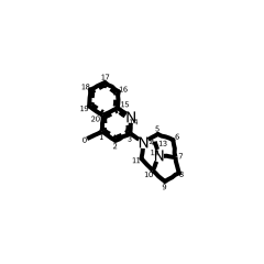 Cc1cc(N2CCC3CCC(C2)N3C)nc2ccccc12